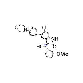 COc1cccc(/C(O)=C2\C(=O)Nc3cc(Cl)c(-c4ccc(N5CCOCC5)cc4)cc32)c1